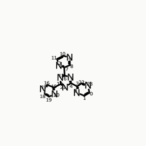 c1cnc(-c2nc(-c3cnccn3)nc(-c3cnccn3)n2)cn1